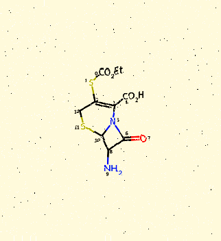 CCOC(=O)SC1=C(C(=O)O)N2C(=O)C(N)C2SC1